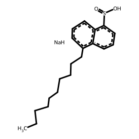 CCCCCCCCCCc1cccc2c(S(=O)O)cccc12.[NaH]